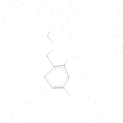 Cc1ccc(COCC(=O)O)c(C(=O)O)c1